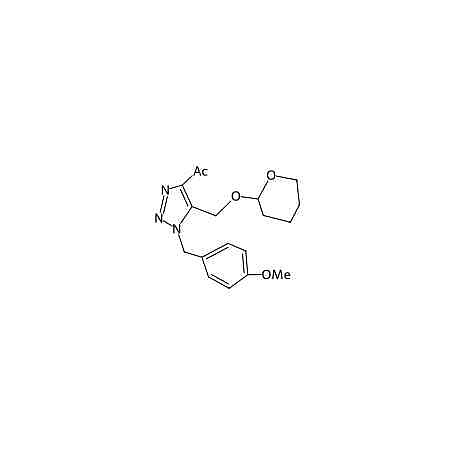 COc1ccc(Cn2nnc(C(C)=O)c2COC2CCCCO2)cc1